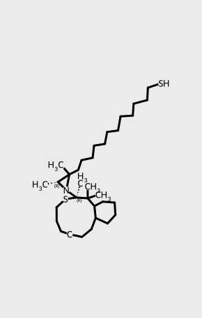 C[C@H]1N([C@]2(C)SCCCCCCC3CCCCC3C2(C)C)C1(C)CCCCCCCCCCCCS